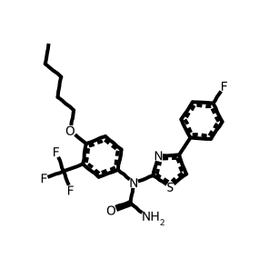 CCCCCOc1ccc(N(C(N)=O)c2nc(-c3ccc(F)cc3)cs2)cc1C(F)(F)F